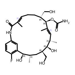 C/C1=C\CC[C@H](CO)[C@@H](OC(N)=O)/C(C)=C/[C@H](C)[C@@H](O)[C@@H](CO)C[C@H](C)[C@@H](O)c2cc(ccc2F)NC1=O